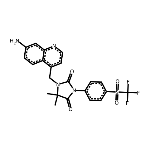 CC1(C)C(=O)N(c2ccc(S(=O)(=O)C(F)(F)F)cc2)C(=O)N1Cc1ccnc2cc(N)ccc12